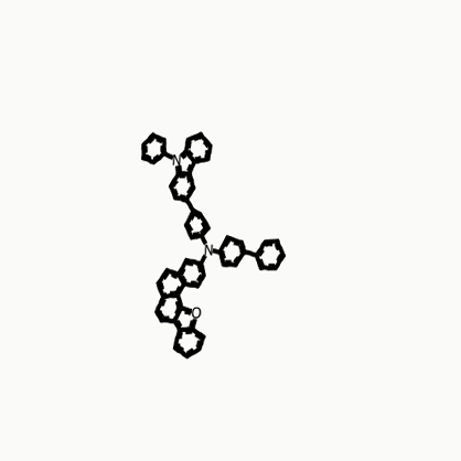 c1ccc(-c2ccc(N(c3ccc(-c4ccc5c(c4)c4ccccc4n5-c4ccccc4)cc3)c3ccc4c(ccc5ccc6c7ccccc7oc6c54)c3)cc2)cc1